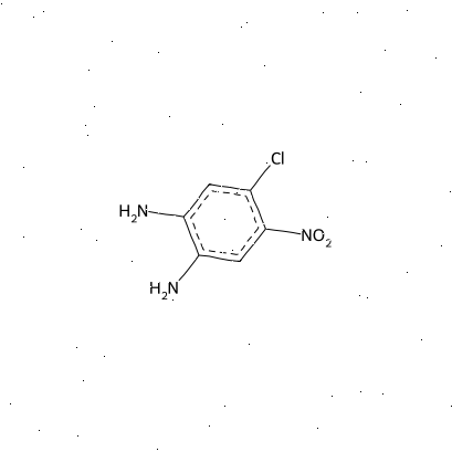 Nc1cc(Cl)c([N+](=O)[O-])cc1N